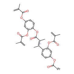 C=C(C)C(=O)Oc1ccc(OC(=O)/C(C)=C(\C)c2ccc(OC(=O)C(C)C)cc2OC(=O)C(=C)C)c(OC(=O)C(=C)C)c1